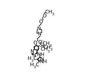 CCOCCOCCN1CCN(CCCOc2cc3ncnc(Nc4n[nH]c(C)c4C)c3cc2[S+]([O-])C(C)(C)C)CC1